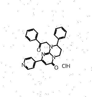 Cl.O=C(CN1c2nc(-c3ccncc3)cc(=O)n2CCC1c1ccccc1)c1ccccc1